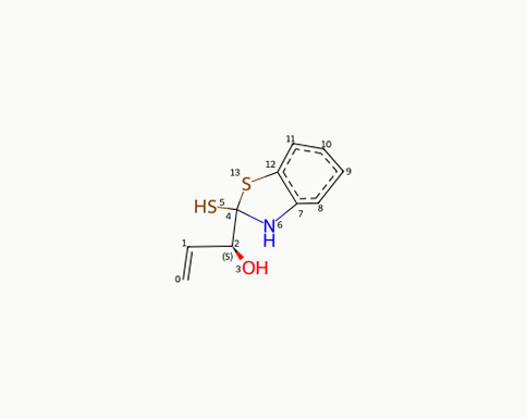 C=C[C@H](O)C1(S)Nc2ccccc2S1